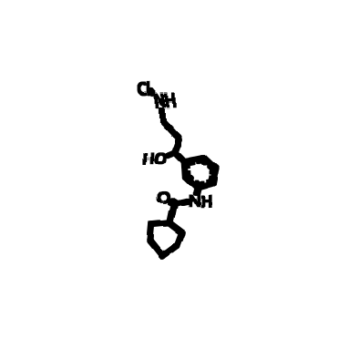 O=C(Nc1cccc(C(O)CCNCl)c1)C1CCCCC1